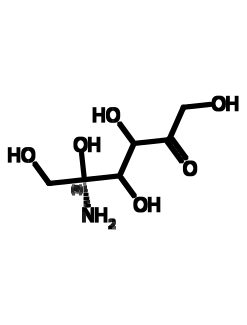 N[C@@](O)(CO)C(O)C(O)C(=O)CO